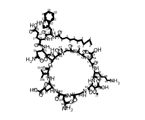 CCCCCCCCCC(=O)NC(Cc1c[nH]c2ccccc12)C(=O)NC(CCC(=O)O)C(=O)NC(CC(N)=O)C(=O)NC1C(=O)N(C)CC(=O)NC(C)C(=O)NC(CC(=O)O)C(=O)NC(CCCCN)C(=O)NC(C(OC)C(=O)O)C(=O)NCC(=O)NC(CC(N)=O)C(=O)NC(CCC(=O)O)C(=O)NC(C(C)C)C(=O)OC1C